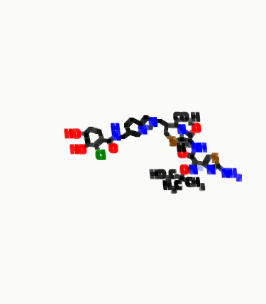 CC(C)(O/N=C(\C(=O)N[C@@H]1C(=O)N2C(C(=O)O)=C(Cn3cc4ccc(CNC(=O)c5ccc(O)c(O)c5Cl)c[n+]4c3)CS[C@H]12)c1csc(N)n1)C(=O)O